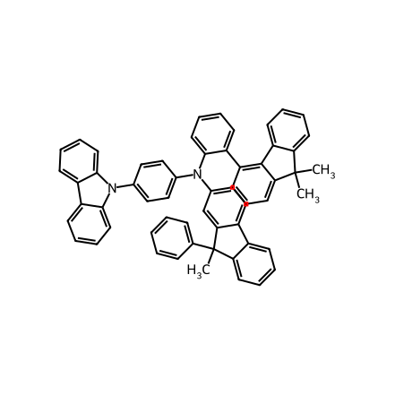 CC1(C)c2ccccc2-c2c(-c3ccccc3N(c3ccc(-n4c5ccccc5c5ccccc54)cc3)c3ccc4c(c3)C(C)(c3ccccc3)c3ccccc3-4)cccc21